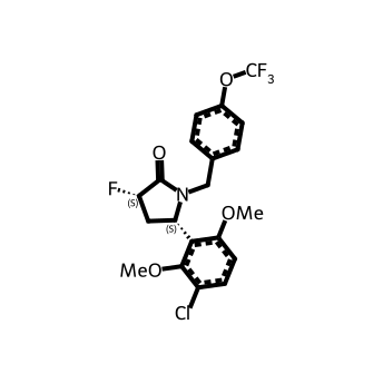 COc1ccc(Cl)c(OC)c1[C@@H]1C[C@H](F)C(=O)N1Cc1ccc(OC(F)(F)F)cc1